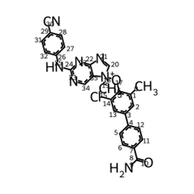 Cc1cc(-c2ccc(C(N)=O)cc2)cc(Cl)c1O[N+]1(C)C=Nc2nc(Nc3ccc(C#N)cc3)ncc21